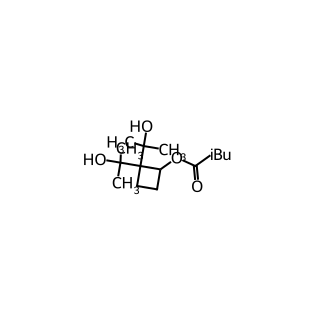 CCC(C)C(=O)OC1CCC1(C(C)(C)O)C(C)(C)O